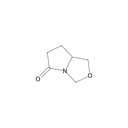 O=C1CCC2COCN12